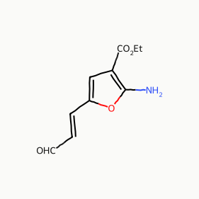 CCOC(=O)c1cc(/C=C/C=O)oc1N